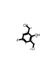 Oc1c(CCl)cc(F)cc1CCl